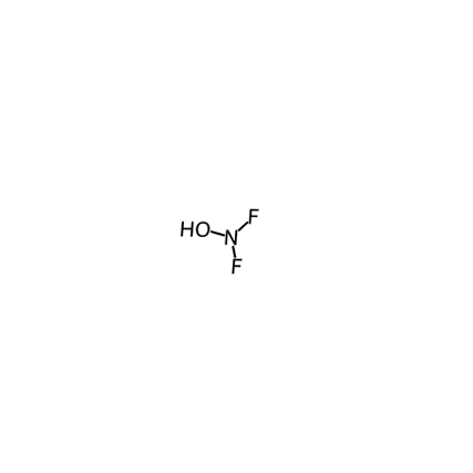 ON(F)F